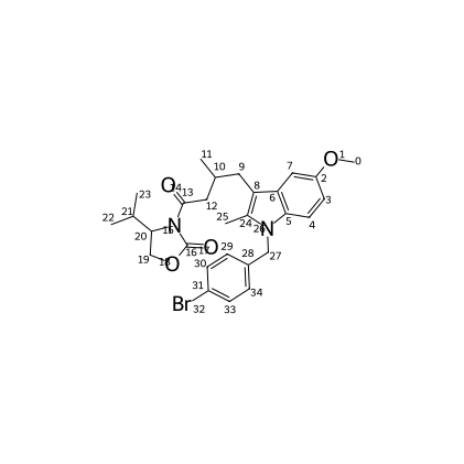 COc1ccc2c(c1)c(CC(C)CC(=O)N1C(=O)OCC1C(C)C)c(C)n2Cc1ccc(Br)cc1